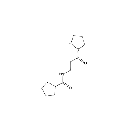 O=C(NCCC(=O)N1[CH]CCC1)C1CCCC1